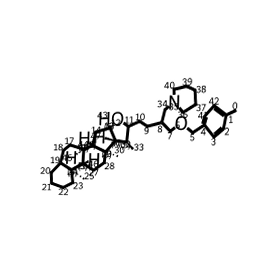 Cc1ccc(COCC(CCC2O[C@H]3C[C@H]4[C@@H]5CCC6CCCC[C@]6(C)[C@H]5CC[C@]4(C)[C@H]3[C@@H]2C)CN2CCCCC2)cc1